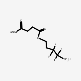 COC(=O)CCC(=O)OCCC(F)(F)C(F)(F)S(=O)(=O)O